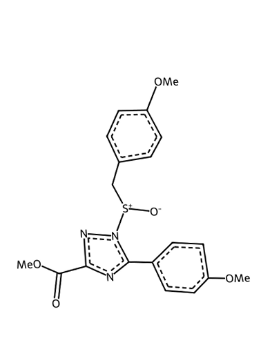 COC(=O)c1nc(-c2ccc(OC)cc2)n([S+]([O-])Cc2ccc(OC)cc2)n1